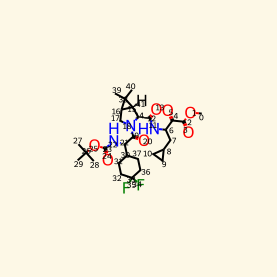 COC(=O)C(=O)C(CC1CC1)NC(=O)[C@@H]1[C@@H]2C(CN1C(=O)[C@@H](NC(=O)OC(C)(C)C)C1CCC(F)(F)CC1)C2(C)C